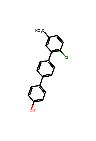 O=C(O)c1ccc(Cl)c(-c2ccc(-c3ccc(O)cc3)cc2)c1